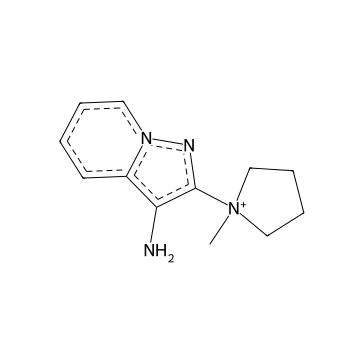 C[N+]1(c2nn3ccccc3c2N)CCCC1